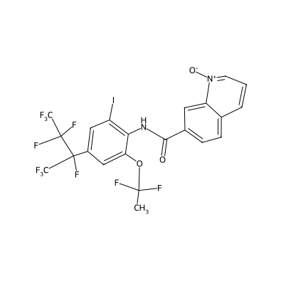 CC(F)(F)Oc1cc(C(F)(C(F)(F)F)C(F)(F)C(F)(F)F)cc(I)c1NC(=O)c1ccc2ccc[n+]([O-])c2c1